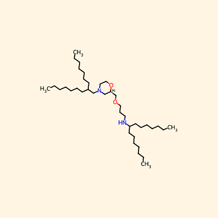 CCCCCCCC(CCCCCCC)CN1CCO[C@@H](COCCCNC(CCCCCCC)CCCCCCC)C1